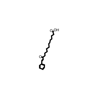 O=C(O)CCCCCCCCCCCC(=O)C=Cc1ccccc1